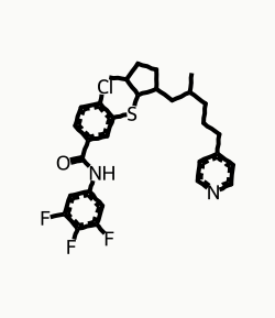 CC(CCCc1ccncc1)CC1CCC(C)C1Sc1cc(C(=O)Nc2cc(F)c(F)c(F)c2)ccc1Cl